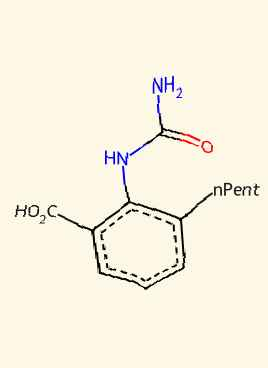 CCCCCc1cccc(C(=O)O)c1NC(N)=O